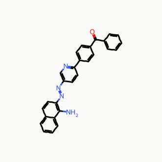 Nc1c(N=Nc2ccc(-c3ccc(C(=O)c4ccccc4)cc3)nc2)ccc2ccccc12